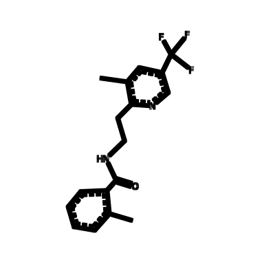 Cc1ccccc1C(=O)NCCc1ncc(C(F)(F)F)cc1C